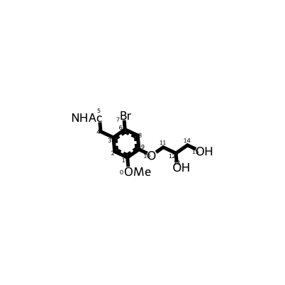 COc1cc(CNC(C)=O)c(Br)cc1OCC(O)CO